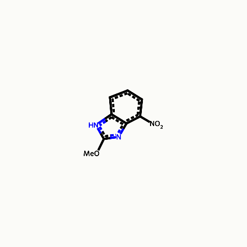 COc1nc2c([N+](=O)[O-])cccc2[nH]1